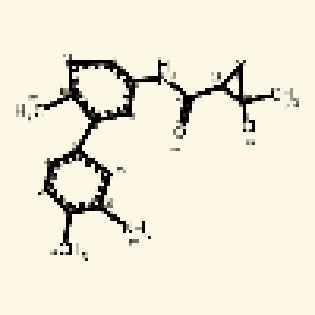 Cc1ccc(-c2cc(NC(=O)C3CC3(C)Cl)ccc2C)cc1N